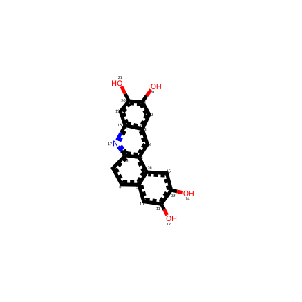 Oc1cc2cc3c(ccc4cc(O)c(O)cc43)nc2cc1O